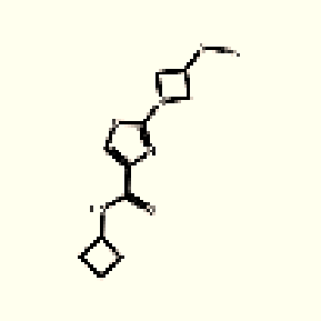 CC(=O)SC1CN(c2nc(C(=O)NC3CCC3)cs2)C1